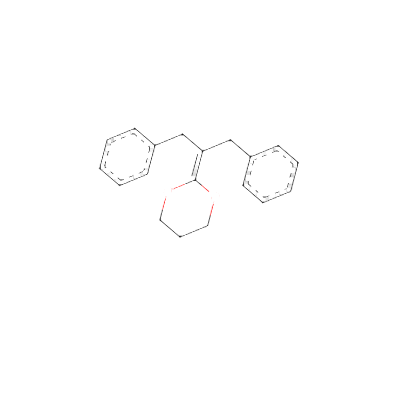 c1ccc(CC(Cc2ccccc2)=C2OCCCO2)cc1